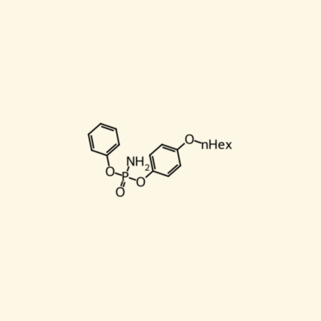 CCCCCCOc1ccc(OP(N)(=O)Oc2ccccc2)cc1